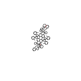 Cc1ccccc1Oc1cc2c3c(cc(Oc4ccccc4C)c4c5c(Oc6ccccc6C)cc6c7c(cc(Oc8ccccc8C)c(c1c34)c75)C(=O)N(C(Cc1ccccc1)C(=O)N1CCCCC1)C6=O)C(=O)N(C(Cc1ccccc1)C(=O)N1CCCCC1)C2=O